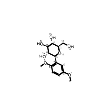 COc1ccc(OC)c([C@@H]2O[C@H](CO)[C@@H](O)[C@H](O)[C@H]2O)c1